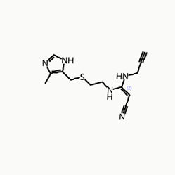 C#CCN/C(=C/C#N)NCCSCc1[nH]cnc1C